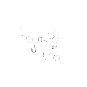 CCCCOc1ccc(C2=C3C=CC(=N3)C=c3ccc([nH]3)=C(c3ccc(OCCCC)cc3)C3=NC(=C(c4ccc(OCCCC)cc4)C4(c5ccc(OCCCC)cc5)CC=C2N4)C=C3)cc1